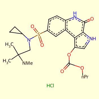 CCCOC(=O)Oc1c[nH]c2c(=O)[nH]c3ccc(S(=O)(=O)N(CC(C)(C)NC)C4CC4)cc3c12.Cl